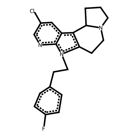 Fc1ccc(CCn2c3c(c4cc(Cl)cnc42)C2CCCN2CC3)cc1